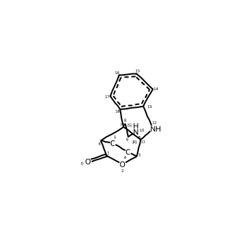 O=C1OC2CCC1[C@]13CCN[C@]21Nc1ccccc13